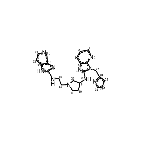 c1cnc2c(c1)nc(NC1CCN(CCNc3nc4cnccc4[nH]3)C1)n2Cc1cscn1